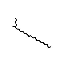 [CH2]CCCCCCCCCCCCCCCCCC(C)CCC[CH2]